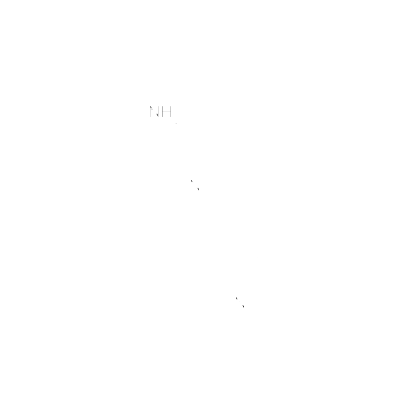 Cc1ccncc1-c1ccc2c(c1)N=C(CC(C)N)CC=C2